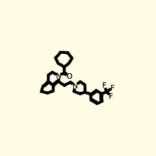 O=C(C1CCCCCC1)N1CCC2=CCCCC2=C1CCN1CCC(c2cccc(C(F)(F)F)c2)CC1